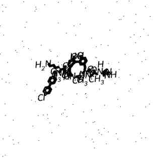 C[C@H](NC(=O)[C@@H]1Cc2ccc(O)c(c2)-c2cc(ccc2O)[C@H](N(C)C(=O)[C@H](CCCCN)NC(=O)c2ccc(-c3ccc(Cl)cc3)cc2)C(=O)N[C@@H](C)C(=O)N1)C(=O)CNc1cn[nH]c1